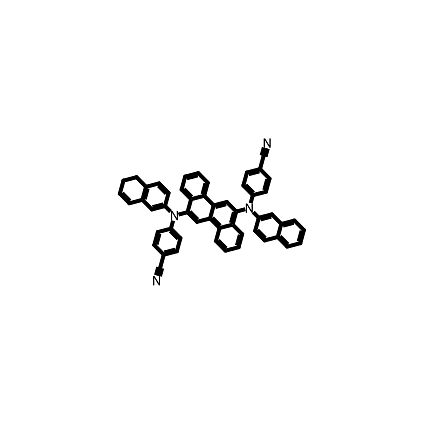 N#Cc1ccc(N(c2ccc3c(c2)C=CCC3)c2cc3c4ccccc4c(N(c4ccc(C#N)cc4)c4ccc5ccccc5c4)cc3c3ccccc23)cc1